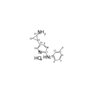 Cc1cccc(Nc2ccc(C3CC3N)cn2)c1.Cl